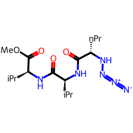 CCC[C@H](NN=[N+]=[N-])C(=O)N[C@H](C(=O)N[C@H](C(=O)OC)C(C)C)C(C)C